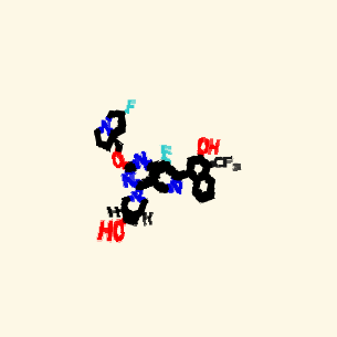 Oc1cc(-c2ncc3c(N4C[C@@H]5C[C@H](C4)[C@H](O)C5)nc(OC[C@@]45CCCN4C[C@H](F)C5)nc3c2F)c2ccccc2c1C(F)(F)F